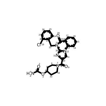 NC(=O)OC1CCN(C(=O)c2cn3c4ccccc4c(=O)n(Cc4ccccc4Cl)c3n2)CC1